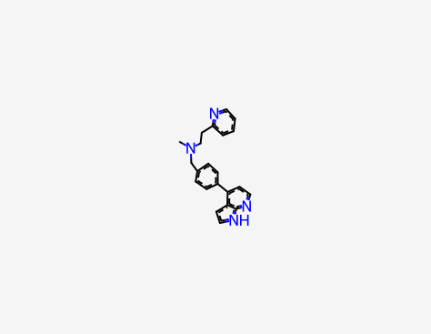 CN(CCc1ccccn1)Cc1ccc(-c2ccnc3[nH]ccc23)cc1